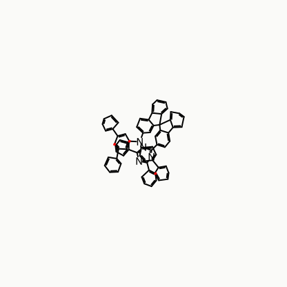 c1ccc(-c2ccc(N(c3cc(-c4ccccc4)cc(-c4ccccc4)c3)c3ccc4c(c3)C3(c5ccccc5-c5ccc(-c6nc(-c7ccccc7)nc(-c7ccccc7)n6)cc53)c3ccccc3-4)cc2)cc1